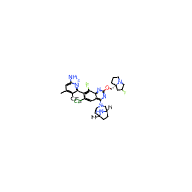 Cc1cc(N)nc(-c2c(Cl)cc3c(N4CC[C@H]5CC[C@@H](C4)N5)nc(OC[C@]45CCCN4C[C@@H](F)C5)nc3c2F)c1C(F)(F)F